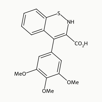 COc1cc(C2=C(C(=O)O)NSc3ccccc32)cc(OC)c1OC